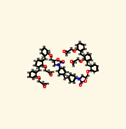 O=C1OC(COc2ccccc2Cc2cccc(Cc3ccccc3OCC3CO3)c2OCC2CO2)CN1c1ccc(Cc2ccc(N3CC(COc4ccccc4Cc4cccc(Cc5ccccc5OCC5CO5)c4OCC4CO4)OC3=O)cc2)cc1